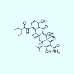 CCC(CC)C(=O)Nc1ccc(O)c2c1[C@H](C)[C@H]1C[C@H]3[C@H](N(C)C)C(O)=C(C(N)=O)C(=O)[C@@]3(O)C(O)=C1C2=O